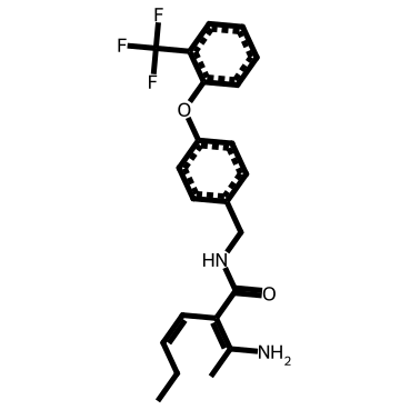 CC/C=C\C(C(=O)NCc1ccc(Oc2ccccc2C(F)(F)F)cc1)=C(/C)N